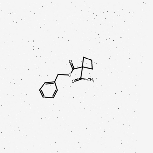 CC(=O)C1(C(=O)OCc2ccccc2)CCC1